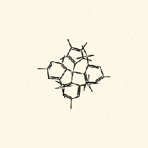 CC1=C(C)C(C)C([Si](c2c(C)cc(C)cc2[Si](C)(C)C)(c2c(C)cc(C)cc2[Si](C)(C)C)c2c(C)cc(C)cc2[Si](C)(C)C)=C1C